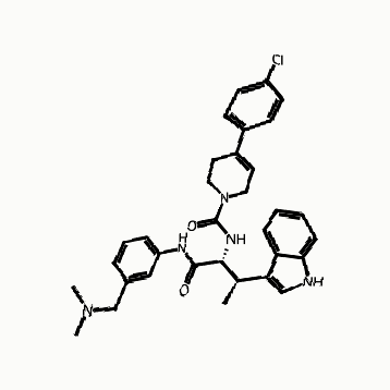 C[C@H](c1c[nH]c2ccccc12)[C@@H](NC(=O)N1CC=C(c2ccc(Cl)cc2)CC1)C(=O)Nc1cccc(CN(C)C)c1